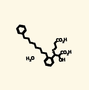 O.O=C(O)CCSC(c1ccccc1CCCCCCCCc1ccccc1)C(O)C(=O)O